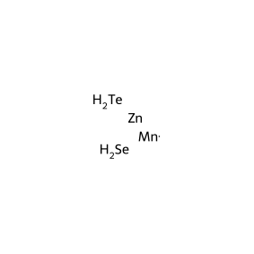 [Mn].[SeH2].[TeH2].[Zn]